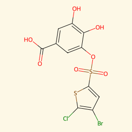 O=C(O)c1cc(O)c(O)c(OS(=O)(=O)c2cc(Br)c(Cl)s2)c1